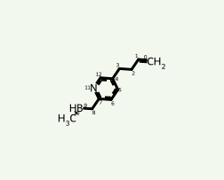 C=CCCc1ccc(CBC)nc1